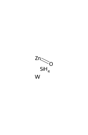 [O]=[Zn].[SiH4].[W]